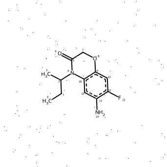 CCC(C)N1C(=O)COc2cc(F)c(N)cc21